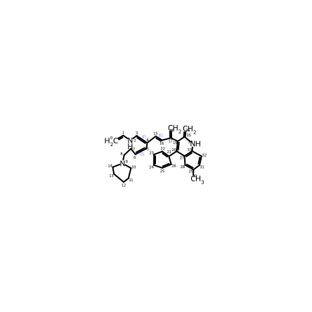 C=CN/C=C(\C=C/CCN1CCCCC1)/C=C/C(=C)C1=C(c2ccccc2)c2cc(C)ccc2NC1=C